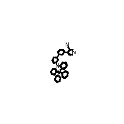 N#Cc1cnccc1-c1cccc(-c2cccc(N3c4ccccc4[Si](c4ccccc4)(c4ccccc4)c4ccccc43)c2)c1